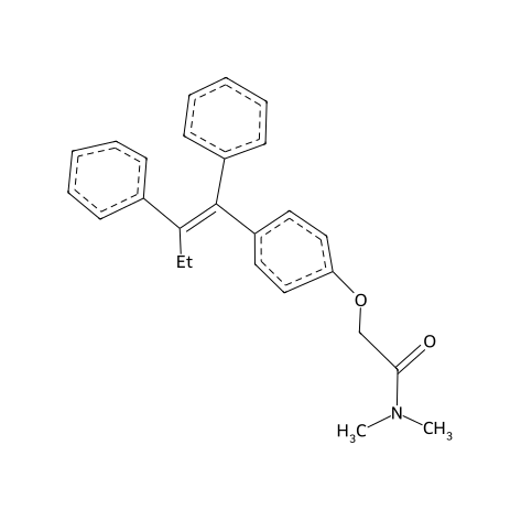 CCC(=C(c1ccccc1)c1ccc(OCC(=O)N(C)C)cc1)c1ccccc1